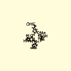 CO[C@H]1CN(C=CC=O)C[C@@H]1COc1nc(Nc2cnn(C)c2)nc2[nH]cc(Cl)c12.O=C(O)C(F)(F)F